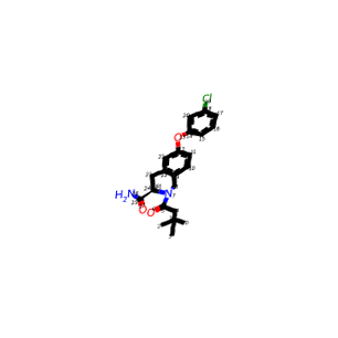 CC(C)(C)CC(=O)N1Cc2ccc(Oc3cccc(Cl)c3)cc2C[C@@H]1C(N)=O